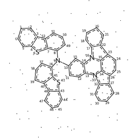 c1ccc2c(c1)sc1c(N(c3ccc4c(c3)n3c5ccccc5c5ccc6c7ccccc7n4c6c53)c3cccc4c3sc3ccccc34)cccc12